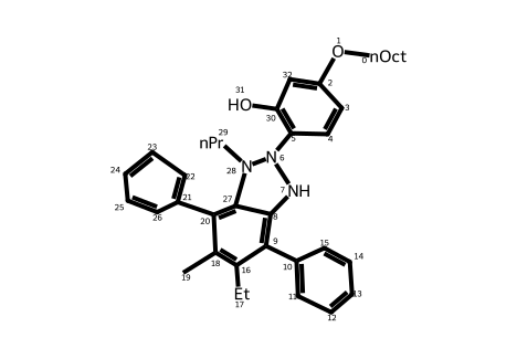 CCCCCCCCOc1ccc(N2Nc3c(-c4ccccc4)c(CC)c(C)c(-c4ccccc4)c3N2CCC)c(O)c1